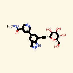 CNC(=O)c1cncc(-c2cc(C#C[C@H]3O[C@H](CO)[C@@H](O)[C@H](O)[C@@H]3O)c3[nH]ncc3c2)c1